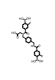 O=C(O)CN(Cc1ccc(CNC(=O)c2ccc(B(O)O)c(F)c2)cc1)C(=O)c1ccc(B(O)O)c(F)c1